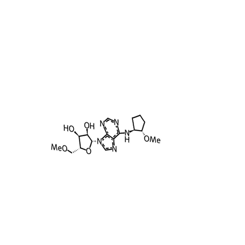 COC[C@H]1O[C@@H](n2cnc3c(N[C@H]4CCC[C@@H]4OC)ncnc32)[C@H](O)[C@@H]1O